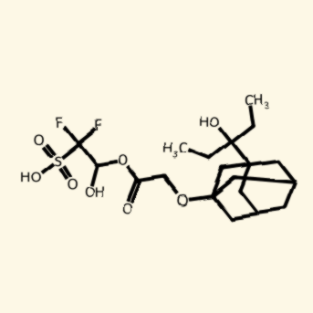 CCC(O)(CC)C12CC3CC(CC(OCC(=O)OC(O)C(F)(F)S(=O)(=O)O)(C3)C1)C2